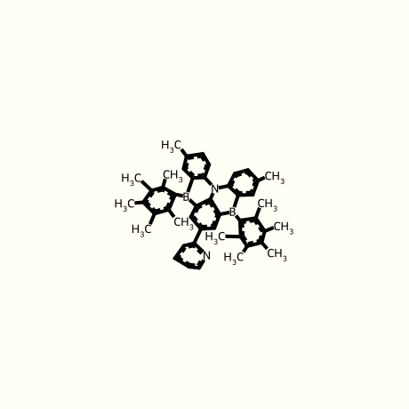 Cc1ccc2c(c1)B(c1c(C)c(C)c(C)c(C)c1C)c1cc(-c3ccccn3)cc3c1N2c1ccc(C)cc1B3c1c(C)c(C)c(C)c(C)c1C